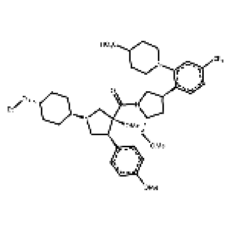 CCO[C@H]1CC[C@H](N2C[C@H](c3ccc(OC)cc3)[C@@](OC)(C(=O)N3C[C@@H](c4ccc(C(F)(F)F)cc4N4CCC(C(=O)O)CC4)C[C@@H]3COC)C2)CC1